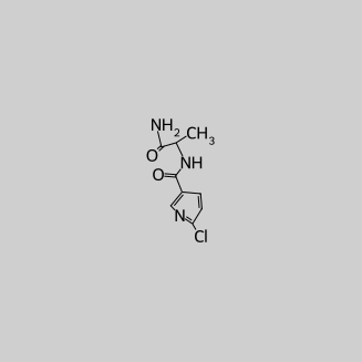 CC(NC(=O)c1ccc(Cl)nc1)C(N)=O